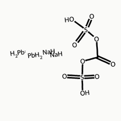 O=C(OS(=O)(=O)O)OS(=O)(=O)O.[NaH].[NaH].[PbH2].[PbH2]